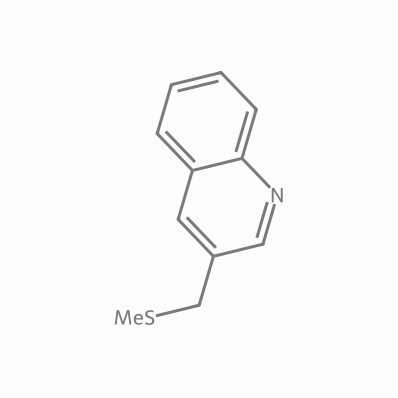 CSCc1cnc2ccccc2c1